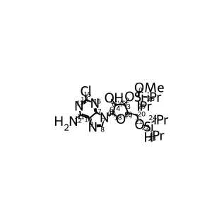 CO[Si](O[C@H]1[C@H](O)[C@H](n2cnc3c(N)nc(Cl)nc32)O[C@@H]1CO[SiH](C(C)C)C(C)C)(C(C)C)C(C)C